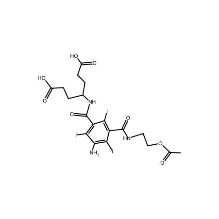 CC(=O)OCCNC(=O)c1c(I)c(N)c(I)c(C(=O)NC(CCC(=O)O)CCC(=O)O)c1I